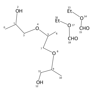 CC(O)COC(C)COC(C)CO.CCOC=O.CCOC=O